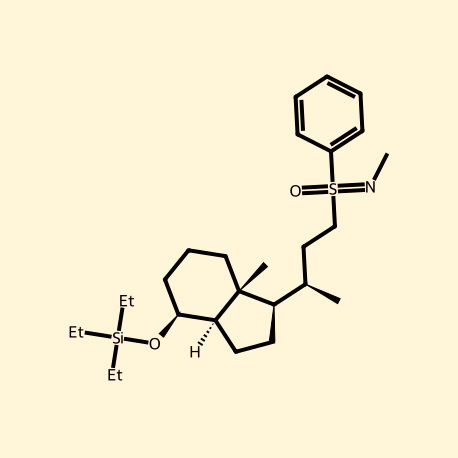 CC[Si](CC)(CC)O[C@H]1CCC[C@]2(C)[C@@H]([C@H](C)CCS(=O)(=NC)c3ccccc3)CC[C@@H]12